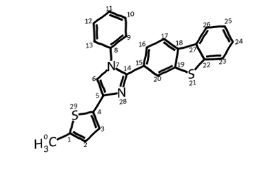 Cc1ccc(-c2cn(-c3ccccc3)c(-c3ccc4c(c3)sc3ccccc34)n2)s1